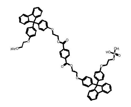 COCCOc1ccc(C2(c3ccc(OCCOC(=O)c4ccc(C(=O)OCCOc5ccc(C6(c7ccc(OCCOP(=O)(O)O)cc7)c7ccccc7-c7ccccc76)cc5)cc4)cc3)c3ccccc3-c3ccccc32)cc1